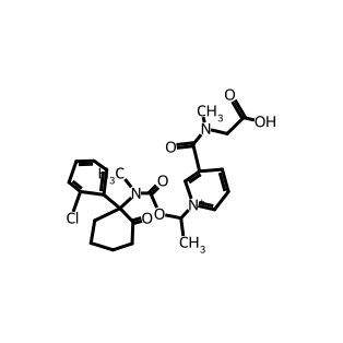 CC(OC(=O)N(C)C1(c2ccccc2Cl)CCCCC1=O)[n+]1cccc(C(=O)N(C)CC(=O)O)c1